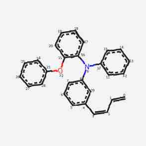 C=C/C=C\c1cccc(N(c2ccccc2)c2ccccc2Oc2ccccc2)c1